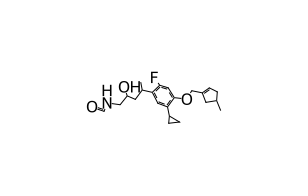 CC1CC=C(COc2cc(F)c(C(C)CC(O)CNC=O)cc2C2CC2)C1